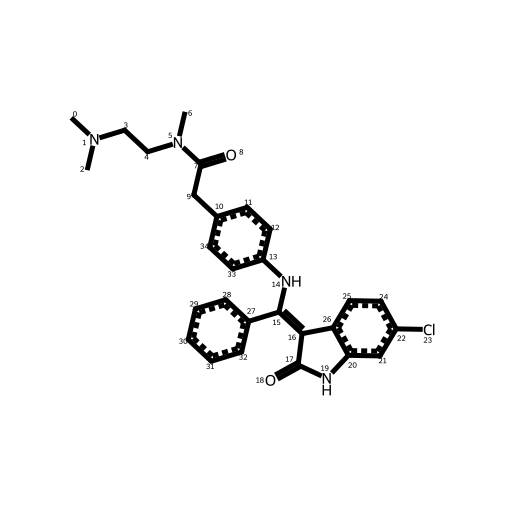 CN(C)CCN(C)C(=O)Cc1ccc(NC(=C2C(=O)Nc3cc(Cl)ccc32)c2ccccc2)cc1